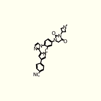 CN1CC(N2C(=O)CN(c3ccc4c(c3)Cn3cc(-c5ccc(C#N)cc5)cc3-c3nccn3-4)C2=O)C1